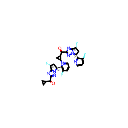 O=C(c1nc2n(n1)[C@H](c1c(F)ccc[n+]1C1CC1C(=O)c1nc3n(n1)[C@H](c1ncccc1F)C[C@H]3F)C[C@@H]2F)C1CC1